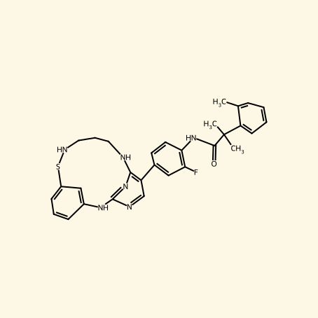 Cc1ccccc1C(C)(C)C(=O)Nc1ccc(-c2cnc3nc2NCCCNSc2cccc(c2)N3)cc1F